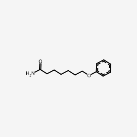 NC(=O)CCCCCCOc1ccccc1